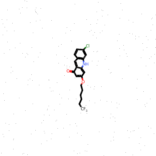 O=c1cc(OCCCCCC(F)(F)F)cc2[nH]c3cc(Cl)ccc3cc1-2